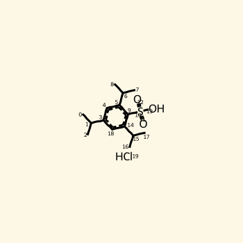 CC(C)c1cc(C(C)C)c(S(=O)(=O)O)c(C(C)C)c1.Cl